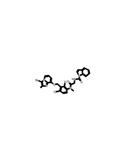 Cc1nc2c(OCc3c(Cl)ccc(N(C)C(=O)CNC(=O)n4ccc5ccccc54)c3Cl)cccn2c1Br